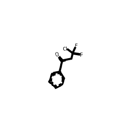 O=C(CC(F)(F)Cl)c1ccccc1